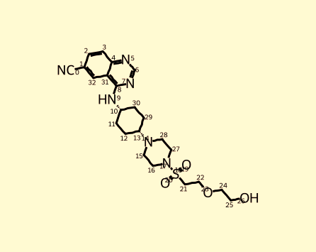 N#Cc1ccc2ncnc(N[C@H]3CC[C@@H](N4CCN(S(=O)(=O)CCOCCO)CC4)CC3)c2c1